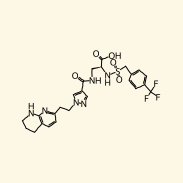 O=C(NC[C@H](NS(=O)(=O)Cc1ccc(C(F)(F)F)cc1)C(=O)O)c1cnn(CCc2ccc3c(n2)NCCC3)c1